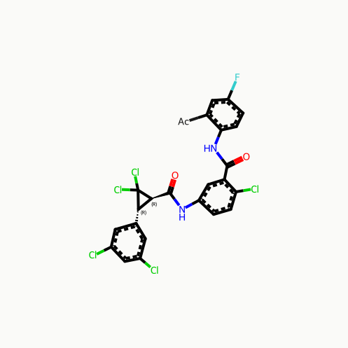 CC(=O)c1cc(F)ccc1NC(=O)c1cc(NC(=O)[C@H]2[C@H](c3cc(Cl)cc(Cl)c3)C2(Cl)Cl)ccc1Cl